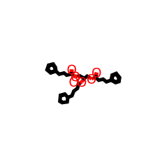 O=C(CCCc1ccccc1)OCC(COC(=O)CCCc1ccccc1)OC(=O)CCCC1C=CC=CC1